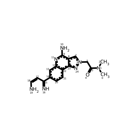 CN(C)C(=O)Cn1cc2c(N)nc3cc(C(=N)/C=C\N)ccc3c2n1